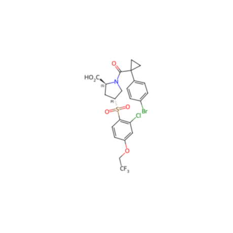 O=C(O)[C@@H]1C[C@@H](S(=O)(=O)c2ccc(OCC(F)(F)F)cc2Cl)CN1C(=O)C1(c2ccc(Br)cc2)CC1